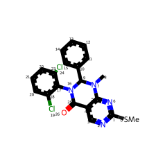 CSc1ncc2c(n1)N(C)C(c1ccccc1)N(c1c(Cl)cccc1Cl)C2=O